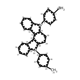 Bc1ccc(-n2c3ccccc3c3c4c5ccccc5n(-c5ccc(C)cc5)c4ccc32)cc1